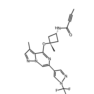 CC#CC(=O)N[C@H]1C[C@@](C)(Oc2nc(-c3cnn(C(F)(F)F)c3)cn3ncc(C)c23)C1